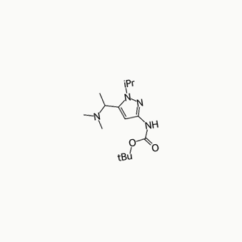 CC(c1cc(NC(=O)OC(C)(C)C)nn1C(C)C)N(C)C